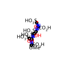 COc1ccc(/N=N/c2ccc(/N=N/c3c(S(=O)(=O)O)cc4c(S(=O)(=O)O)c(/N=N/C5C(=O)N(c6ccc(S(=O)(=O)O)cc6)N=C5C(=O)O)ccc4c3O)c3cc(S(=O)(=O)O)cc(O)c23)c(S(=O)(=O)O)c1